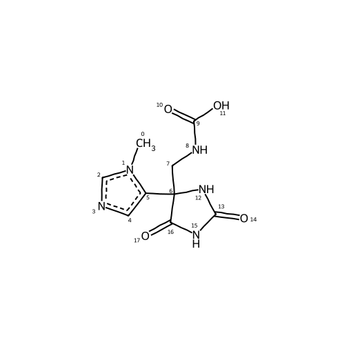 Cn1cncc1C1(CNC(=O)O)NC(=O)NC1=O